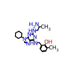 Cc1cccc(CNc2nc(NCC(C)N)nc3c2ncn3C2CCCCC2)c1O